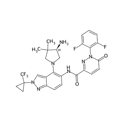 CC1(C)CN(c2c(NC(=O)c3ccc(=O)n(-c4c(F)cccc4F)n3)ccc3nn(C4(C(F)(F)F)CC4)cc23)C[C@@H]1N